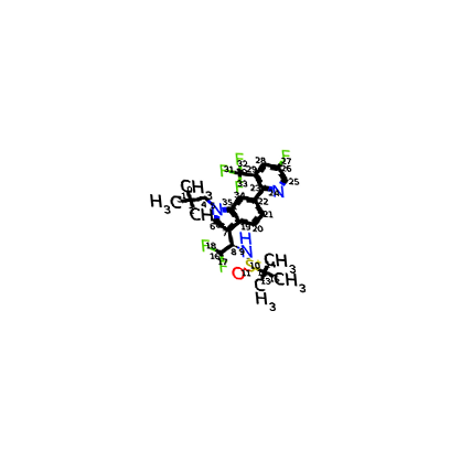 CC(C)(C)Cn1cc([C@H](N[S@@+]([O-])C(C)(C)C)C(F)F)c2ccc(-c3ncc(F)cc3C(F)(F)F)cc21